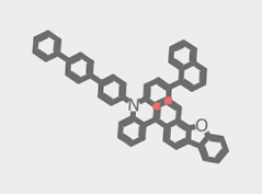 c1ccc(-c2ccc(-c3ccc(N(c4ccc(-c5cccc6ccccc56)cc4)c4ccccc4-c4cccc5c4ccc4c6ccccc6oc54)cc3)cc2)cc1